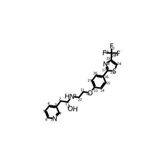 O[C@H](Cc1cccnc1)NCCOc1ccc(-c2nc(C(F)(F)F)cs2)cc1